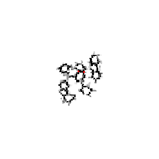 c1ccc(-c2cccc(N(c3ccc4oc5cccnc5c4c3)c3ccccc3-c3ccc(-n4c5ccccc5c5ccccc54)cc3)c2)cc1